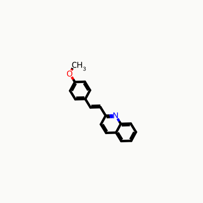 COc1ccc(/C=C/c2ccc3ccccc3n2)cc1